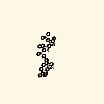 N#Cc1cc(C#N)c(-n2c3ccc(N(c4ccccc4)c4ccc(-c5ccc6c(c5)c5ccccc5c5c6c6ccccc6n5-c5cc(-n6c7ccccc7c7c8ccccc8c8ccccc8c76)c(C#N)cc5C#N)cc4)cc3c3c4ccccc4ccc32)cc1-n1c2ccc(N(c3ccccc3)c3ccccc3)cc2c2c3ccccc3ccc21